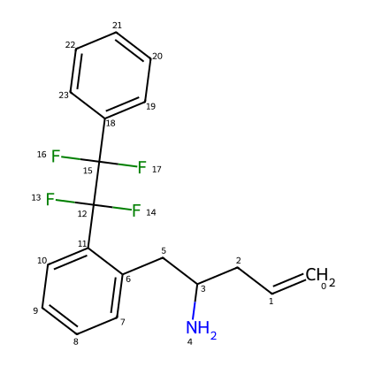 C=CCC(N)Cc1ccccc1C(F)(F)C(F)(F)c1ccccc1